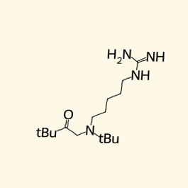 CC(C)(C)C(=O)CN(CCCCCNC(=N)N)C(C)(C)C